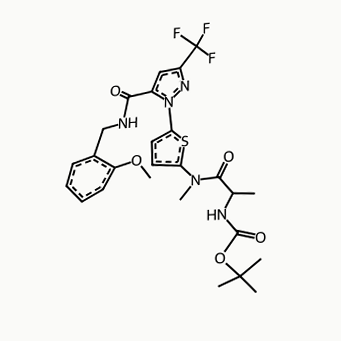 COc1ccccc1CNC(=O)c1cc(C(F)(F)F)nn1-c1ccc(N(C)C(=O)C(C)NC(=O)OC(C)(C)C)s1